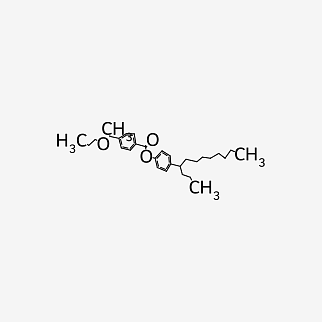 CCCCCCCCC(CCC)c1ccc(OC(=O)c2ccc(C(C)OCCC)cc2)cc1